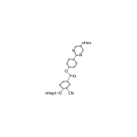 CCCCCCCOc1ccc(C(=O)Oc2ccc(-c3ncc(CCCCCC)cn3)cc2)cc1C#N